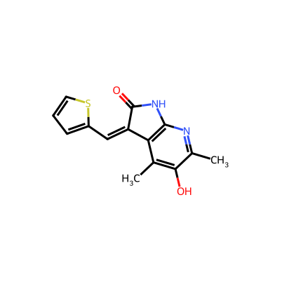 Cc1nc2c(c(C)c1O)C(=Cc1cccs1)C(=O)N2